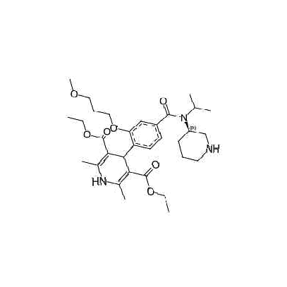 CCOC(=O)C1=C(C)NC(C)=C(C(=O)OCC)C1c1ccc(C(=O)N(C(C)C)[C@@H]2CCCNC2)cc1OCCCOC